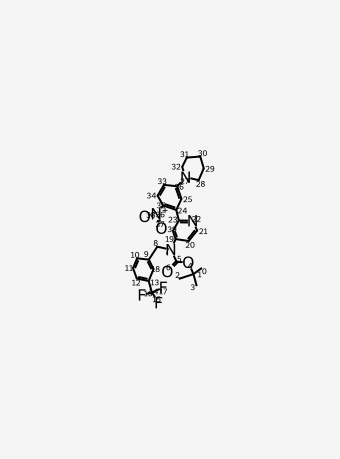 CC(C)(C)OC(=O)N(Cc1cccc(C(F)(F)F)c1)c1ccnc(-c2cc(N3CCCCC3)ccc2[N+](=O)[O-])c1